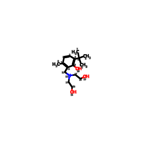 Cc1ccc(C(C)(C)C)c(O)c1CN(CCO)CCO